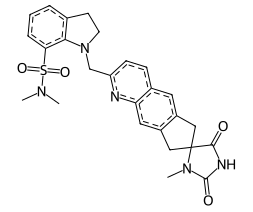 CN1C(=O)NC(=O)C12Cc1cc3ccc(CN4CCc5cccc(S(=O)(=O)N(C)C)c54)nc3cc1C2